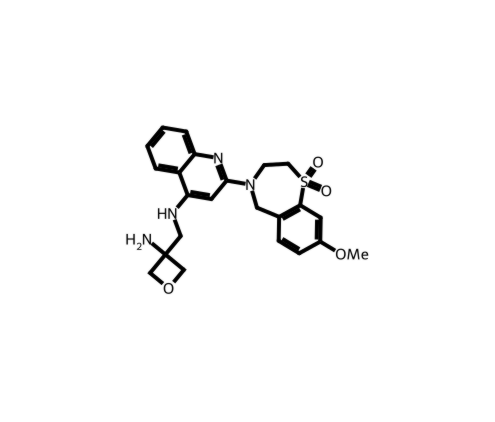 COc1ccc2c(c1)S(=O)(=O)CCN(c1cc(NCC3(N)COC3)c3ccccc3n1)C2